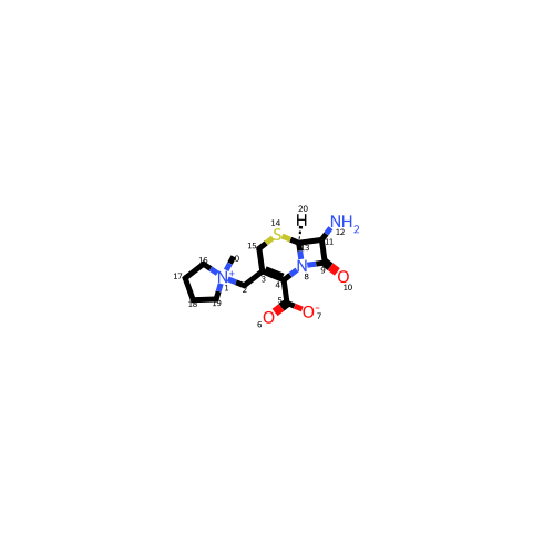 C[N+]1(CC2=C(C(=O)[O-])N3C(=O)C(N)[C@@H]3SC2)CCCC1